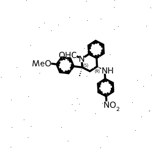 COc1ccc([C@]2(C)C[C@@H](Nc3ccc([N+](=O)[O-])cc3)c3ccccc3N2C=O)cc1